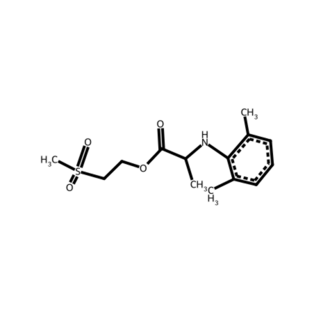 Cc1cccc(C)c1NC(C)C(=O)OCCS(C)(=O)=O